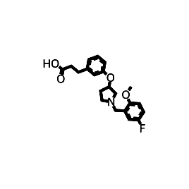 COc1ccc(F)cc1CN1CCC(Oc2cccc(CCC(=O)O)c2)C1